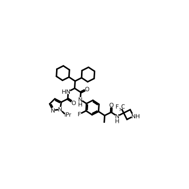 CC(C(=O)NC1(C(F)(F)F)CNC1)c1ccc(NC(=O)C(NC(=O)c2ccnn2C(C)C)C(C2CCCCC2)C2CCCCC2)c(F)c1